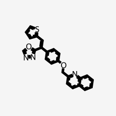 C(=C(c1ccc(OCc2ccc3ccccc3n2)cc1)c1nnco1)c1cccs1